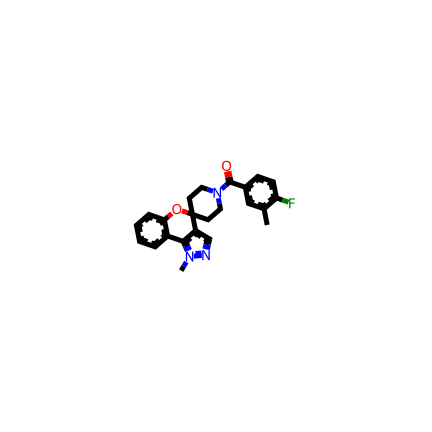 Cc1cc(C(=O)N2CCC3(CC2)Oc2ccccc2-c2c3cnn2C)ccc1F